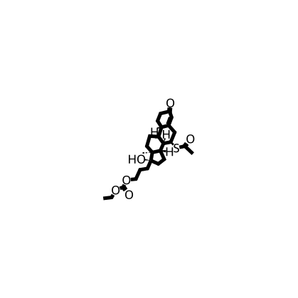 CCOC(=O)OCCC[C@]1(O)CC[C@H]2[C@@H]3[C@H](SC(C)=O)CC4=CC(=O)CC[C@]4(C)[C@H]3CC[C@@]21C